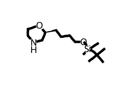 CC(C)(C)[Si](C)(C)OCCCC[C@H]1CNCCO1